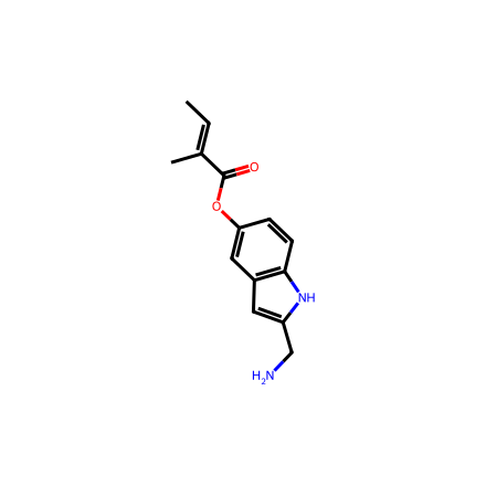 C/C=C(\C)C(=O)Oc1ccc2[nH]c(CN)cc2c1